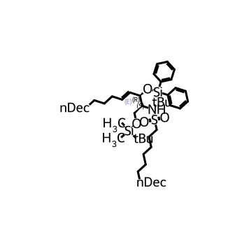 CCCCCCCCCCCCC/C=C/[C@@H](O[Si](c1ccccc1)(c1ccccc1)C(C)(C)C)[C@H](CO[Si](C)(C)C(C)(C)C)NS(=O)(=O)CCCCCCCCCCCCCCCC